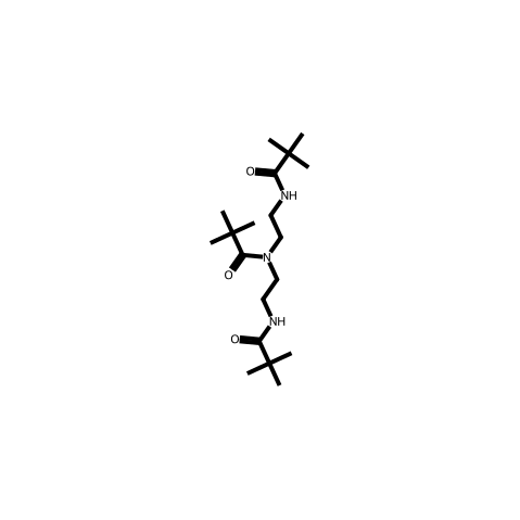 CC(C)(C)C(=O)NCCN(CCNC(=O)C(C)(C)C)C(=O)C(C)(C)C